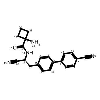 N#Cc1ccc(-c2ccc(C[C@@H](C#N)NC(=O)C3(N)CCC3)cc2)cc1